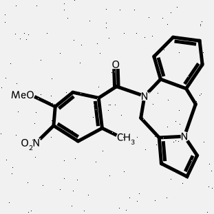 COc1cc(C(=O)N2Cc3cccn3Cc3ccccc32)c(C)cc1[N+](=O)[O-]